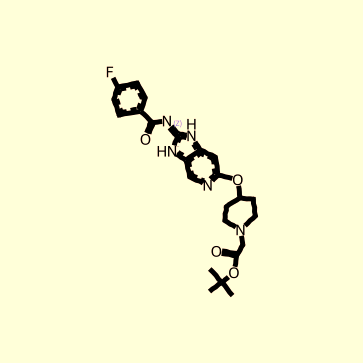 CC(C)(C)OC(=O)CN1CCC(Oc2cc3[nH]/c(=N/C(=O)c4ccc(F)cc4)[nH]c3cn2)CC1